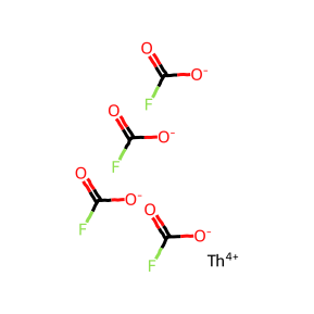 O=C([O-])F.O=C([O-])F.O=C([O-])F.O=C([O-])F.[Th+4]